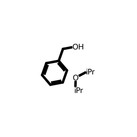 CC(C)OC(C)C.OCc1ccccc1